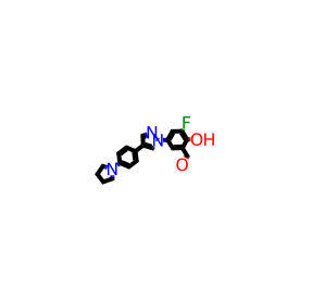 O=Cc1cc(-n2cc(-c3ccc(N4CCCC4)cc3)cn2)cc(F)c1O